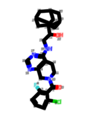 O=C(c1c(F)cccc1Cl)N1CCc2c(ncnc2NCC(O)C23CC4CC(CC(C4)C2)C3)C1